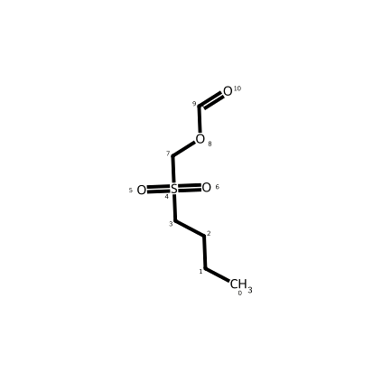 CCCCS(=O)(=O)CO[C]=O